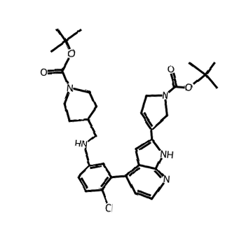 CC(C)(C)OC(=O)N1CCC(CNc2ccc(Cl)c(-c3ccnc4[nH]c(C5=CCN(C(=O)OC(C)(C)C)C5)cc34)c2)CC1